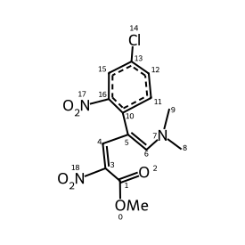 COC(=O)C(=CC(=CN(C)C)c1ccc(Cl)cc1[N+](=O)[O-])[N+](=O)[O-]